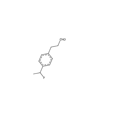 CC(F)c1ccc(CCC=O)cc1